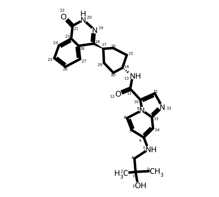 CC(C)(O)CNc1ccn2c(C(=O)N[C@H]3CC[C@H](c4n[nH]c(=O)c5ccccc54)CC3)cnc2c1